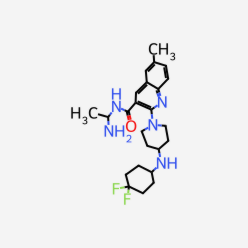 Cc1ccc2nc(N3CCC(NC4CCC(F)(F)CC4)CC3)c(C(=O)NC(C)N)cc2c1